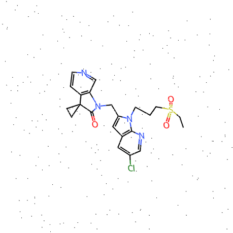 CCS(=O)(=O)CCCn1c(CN2C(=O)C3(CC3)c3ccncc32)cc2cc(Cl)cnc21